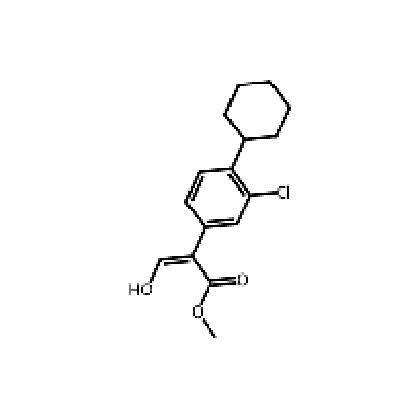 COC(=O)C(=CO)c1ccc(C2CCCCC2)c(Cl)c1